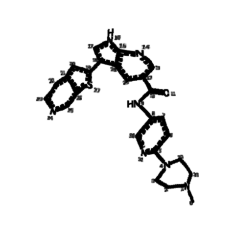 CN1CCN(c2ccc(NC(=O)c3cnc4[nH]cc(-c5cc6ccncc6s5)c4c3)cn2)CC1